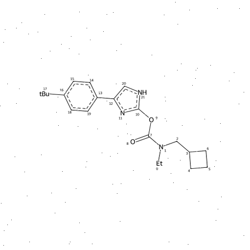 CCN(CC1CCC1)C(=O)Oc1nc(-c2ccc(C(C)(C)C)cc2)c[nH]1